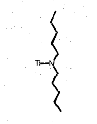 CCCCC[N]([Ti])CCCCC